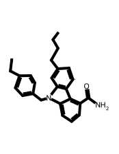 CCCCc1c[c]c2c3c(C(N)=O)cccc3n(Cc3ccc(CC)cc3)c2c1